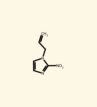 C=CCn1ccnc1[N+](=O)[O-]